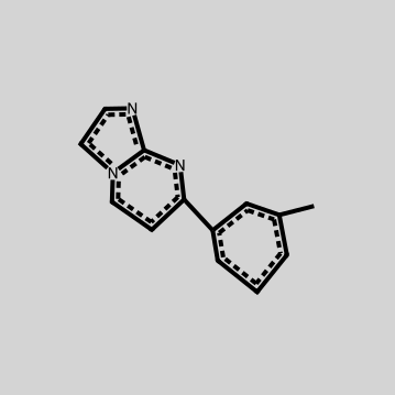 Cc1cccc(-c2ccn3ccnc3n2)c1